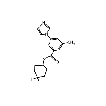 Cc1cc(C(=O)NC2CCC(F)(F)CC2)nc(-n2ccnc2)c1